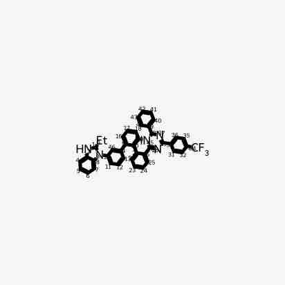 CCC1Nc2ccccc2N1c1cccc(-c2ccccc2-c2ccccc2C2=NC(c3ccc(C(F)(F)F)cc3)=NC(c3ccccc3)N2)c1